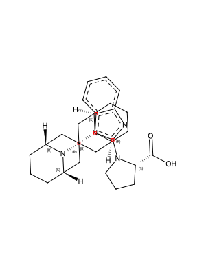 O=C(O)[C@@H]1CCCN1c1nc2ccccc2n1[C@H]1C[C@H]2CCC[C@@H](C1)N2[C@H]1C[C@@H]2CCC[C@@H](C2)C1